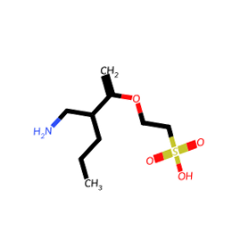 C=C(OCCS(=O)(=O)O)C(CN)CCC